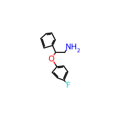 NCC(Oc1ccc(F)cc1)c1ccccc1